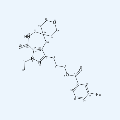 CCn1nc(CCCOC(=O)c2cccc(F)c2)c2c1C(=O)NCC1(CCOCC1)C2